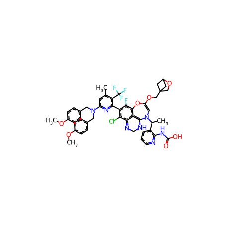 COc1ccc(CN(Cc2ccc(OC)cc2)c2cc(C)c(C(F)(F)F)c(-c3c(F)c4c5c(c3Cl)=NCNC=5N(C(C)c3cccnc3NC(=O)O)C=C(OCC35COC(C3)C5)O4)n2)cc1